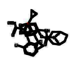 COC(=O)c1ccc(NC(=O)N2C3CCC2CC(OCc2c(-c4c(Cl)cccc4Cl)noc2C2CC2)C3)c(C2CC2)c1